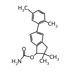 Cc1ccc(C)c(-c2ccc3c(c2)CC(C)(C)C3OC(N)=O)c1